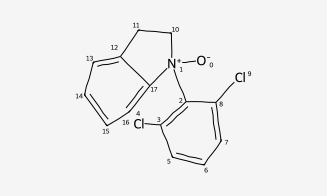 [O-][N+]1(c2c(Cl)cccc2Cl)CCc2ccccc21